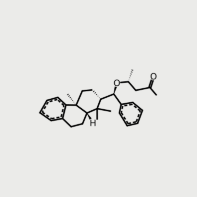 CC(=O)C[C@@H](C)O[C@@H](c1ccccc1)[C@H]1CC[C@]2(C)c3ccccc3CC[C@H]2C1(C)C